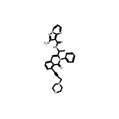 CC(NC(=O)c1c(N)nn2cccnc12)c1cc2cccc(C#CCN3CCOCC3)c2c(=O)n1-c1ccccc1